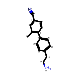 Cc1cc(C#N)ccc1-c1ccc(CCN)cc1